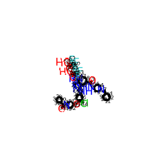 O=C(NC1CCN(Cc2ccccc2)CC1)C1=Cc2c(ncnc2Nc2ccc(OC3CCN(C(=O)C4CCCC4)CC3)c(Cl)c2)NCC1.O=C(O)C(F)(F)F.O=C(O)C(F)(F)F